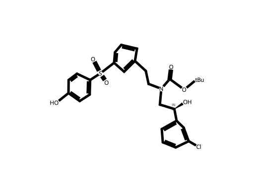 CC(C)(C)OC(=O)N(CCc1cccc(S(=O)(=O)c2ccc(O)cc2)c1)C[C@@H](O)c1cccc(Cl)c1